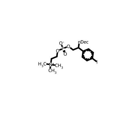 CCCCCCCCCCC(COP(=O)([O-])OCC[N+](C)(C)C)c1ccc(I)cc1